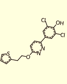 Oc1c(Cl)cc(-c2ccc(OCCc3cccs3)nn2)cc1Cl